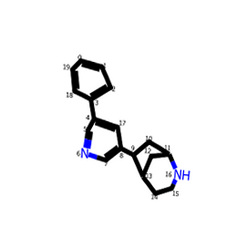 c1ccc(-c2cncc(C3CC4CC3CCN4)c2)cc1